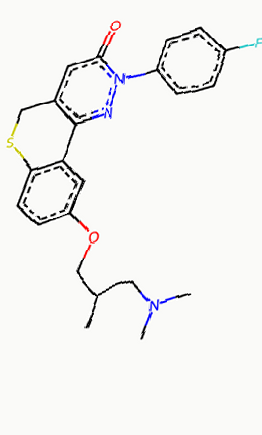 CC(COc1ccc2c(c1)-c1nn(-c3ccc(F)cc3)c(=O)cc1CS2)CN(C)C